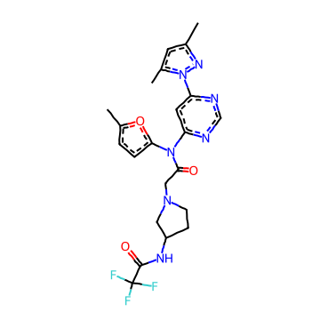 Cc1cc(C)n(-c2cc(N(C(=O)CN3CCC(NC(=O)C(F)(F)F)C3)c3ccc(C)o3)ncn2)n1